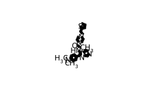 CC(Nc1c(-c2ccc(N(C)C)cc2)nc2cnccn12)C(=O)N1CCN(CCc2cccs2)CC1